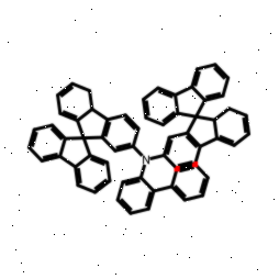 C1=CCC2C(=C1)C1(c3ccccc3-c3ccccc31)c1cc(N(c3ccc4c(c3)C3(c5ccccc5-c5ccccc53)C3CC=CC=C43)c3ccccc3-c3ccccc3)ccc12